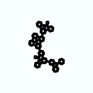 O=c1c2ccccc2c2cc(-c3ccc4c(c3)C3(c5ccccc5-c5ccccc53)c3ccc(-c5ccc6c(c5)c(=O)n5c7ccccc7c7cc(-c8ccc9c(c8)c8ccccc8n9-c8ccccc8)cc6c75)cc3-4)cc3c4ccccc4n1c23